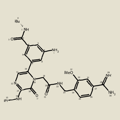 CC[C@@H](C)NC(=O)c1cc(N)cc(-c2cnc(NC(C)C)c(=O)n2CC(=O)NCc2ccc(C(=N)N)cc2OC)c1